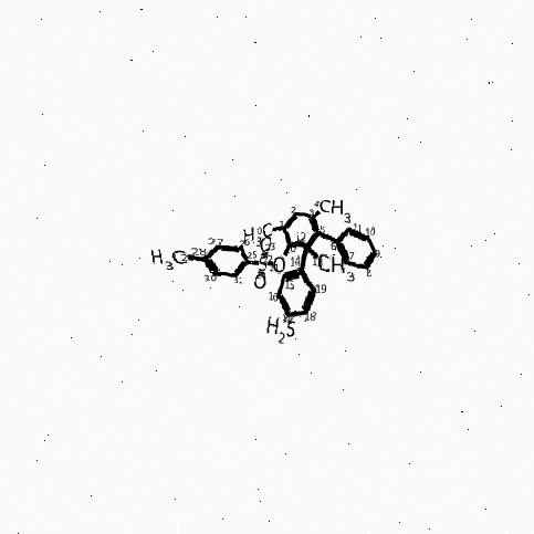 CC1=CC(C)=C(c2ccccc2)C(C)(c2ccccc2)C1OS(=O)(=O)c1ccc(C)cc1.S